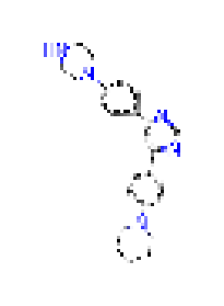 c1nc(-c2ccc(N3CCCCC3)cc2)cc(-c2ccc(N3CCNCC3)cc2)n1